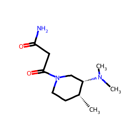 C[C@@H]1CCN(C(=O)CC(N)=O)C[C@@H]1N(C)C